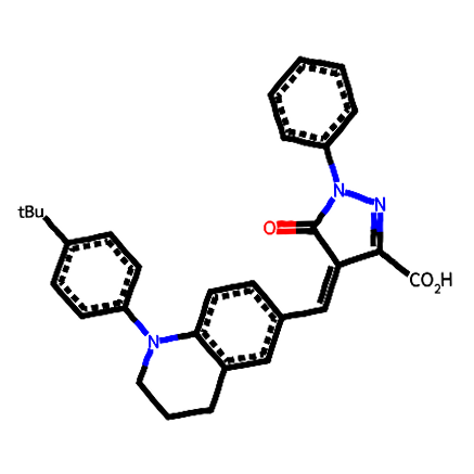 CC(C)(C)c1ccc(N2CCCc3cc(/C=C4\C(=O)N(c5ccccc5)N=C4C(=O)O)ccc32)cc1